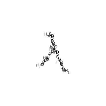 CCNC(=O)COCCOCCOCCNC(=O)C(CCCNC(=O)COCCOCCOCCNC(=O)COCCOCCOC)NC(=O)COCCOCCOCCNC(=O)COCCOCCOC